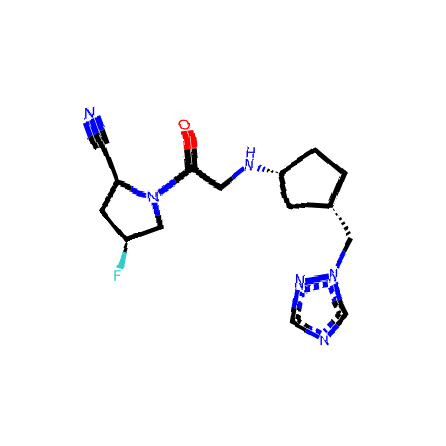 N#CC1C[C@H](F)CN1C(=O)CN[C@@H]1CC[C@H](Cn2cncn2)C1